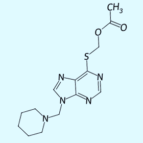 CC(=O)OCSc1ncnc2c1ncn2CN1CCCCC1